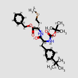 CSCC[C@H](NC(=O)[C@H](Cc1ccc(C(C)(C)C)cc1)NC(=O)OC(C)(C)C)C(=O)OCc1ccccc1